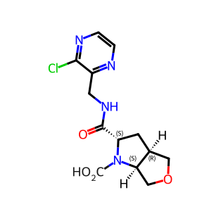 O=C(NCc1nccnc1Cl)[C@@H]1C[C@H]2COC[C@H]2N1C(=O)O